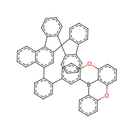 c1ccc2c(c1)Oc1cccc3c1B2c1cc(-c2ccccc2-c2cc4c(c5ccccc25)-c2ccccc2C42c4ccccc4-c4ccccc42)ccc1O3